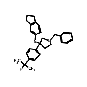 FC(F)(F)C(F)(c1ccc(C2(Sc3ccc4c(c3)CCC4)CCN(Cc3ccccc3)C2)cc1)C(F)(F)F